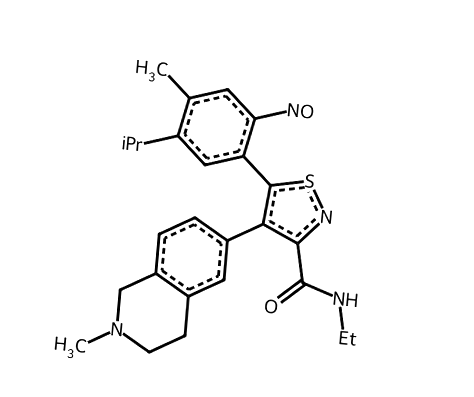 CCNC(=O)c1nsc(-c2cc(C(C)C)c(C)cc2N=O)c1-c1ccc2c(c1)CCN(C)C2